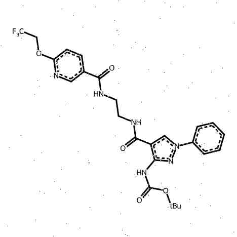 CC(C)(C)OC(=O)Nc1nn(-c2ccccc2)cc1C(=O)NCCNC(=O)c1ccc(OCC(F)(F)F)nc1